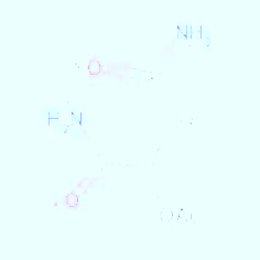 CC(=O)OC(CC(N)=O)C(N)=O